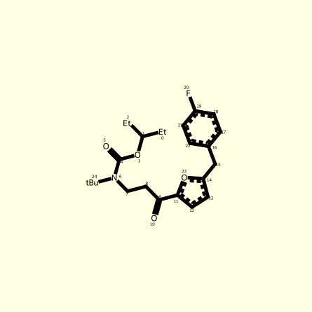 CCC(CC)OC(=O)N(CCC(=O)c1ccc(Cc2ccc(F)cc2)o1)C(C)(C)C